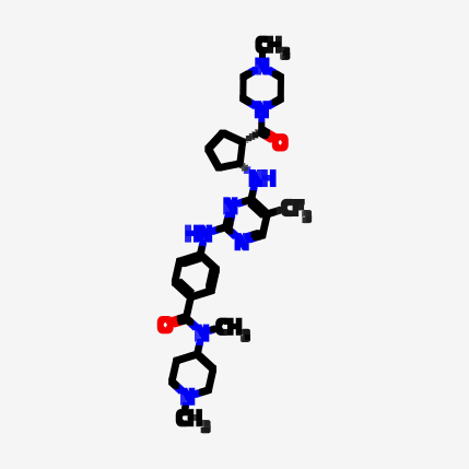 CN1CCC(N(C)C(=O)c2ccc(Nc3ncc(C(F)(F)F)c(N[C@@H]4CCC[C@@H]4C(=O)N4CCN(C)CC4)n3)cc2)CC1